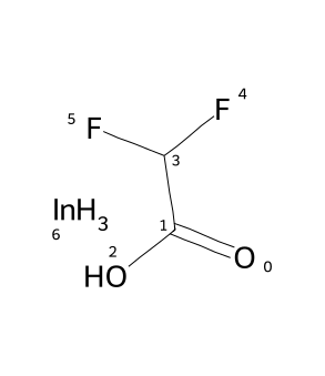 O=C(O)C(F)F.[InH3]